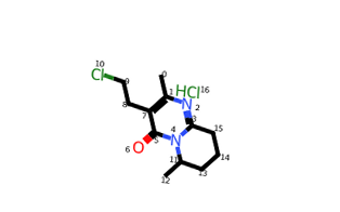 Cc1nc2n(c(=O)c1CCCl)C(C)CCC2.Cl